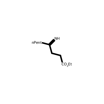 [CH2]CCCCC(=N)CCC(=O)OCC